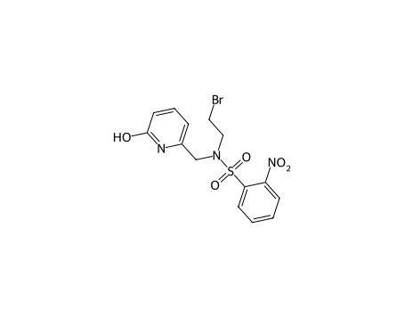 O=[N+]([O-])c1ccccc1S(=O)(=O)N(CCBr)Cc1cccc(O)n1